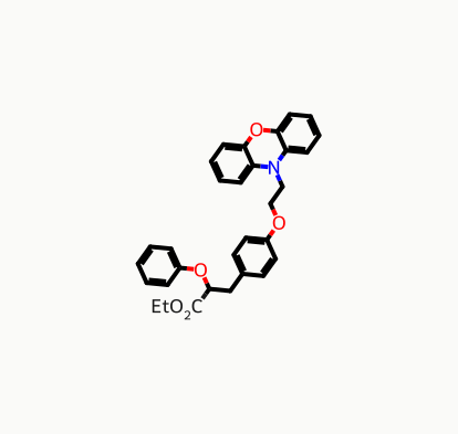 CCOC(=O)C(Cc1ccc(OCCN2c3ccccc3Oc3ccccc32)cc1)Oc1ccccc1